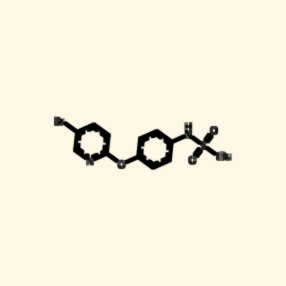 CC(C)(C)S(=O)(=O)Nc1ccc(Oc2ccc(Br)cn2)cc1